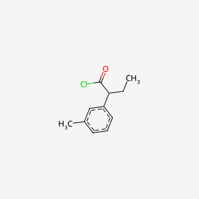 CCC(C(=O)Cl)c1cccc(C)c1